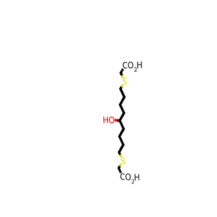 O=C(O)CSCCCCC(O)CCCCSCC(=O)O